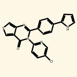 O=c1c2cscc2nc(-c2ccc(-c3ccc[nH]3)cc2)n1-c1ccc(Cl)cn1